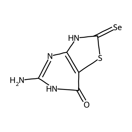 Nc1nc2[nH]c(=[Se])sc2c(=O)[nH]1